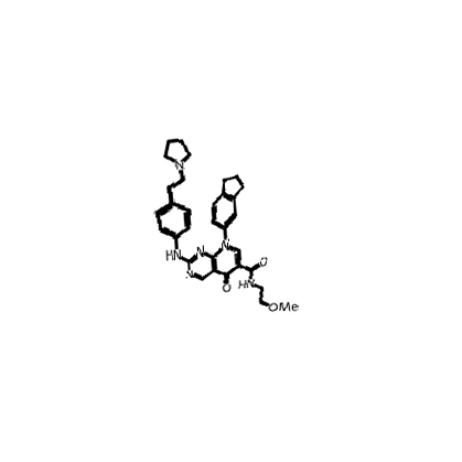 COCCNC(=O)c1cn(-c2ccc3c(c2)CCC3)c2nc(Nc3ccc(CCN4CCCC4)cc3)ncc2c1=O